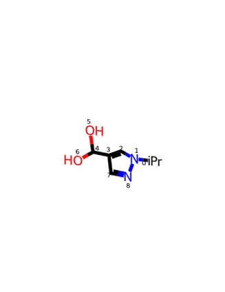 CC(C)n1cc(C(O)O)cn1